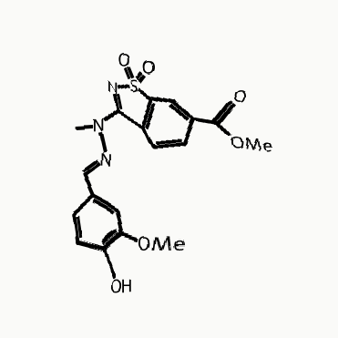 COC(=O)c1ccc2c(c1)S(=O)(=O)N=C2N(C)N=Cc1ccc(O)c(OC)c1